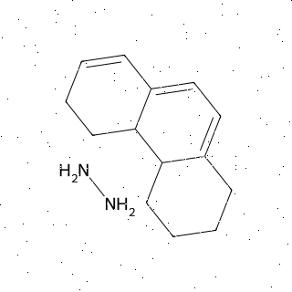 C1=CC2=CC=C3CCCCC3C2CC1.NN